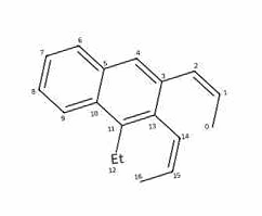 C/C=C\c1cc2ccccc2c(CC)c1/C=C\C